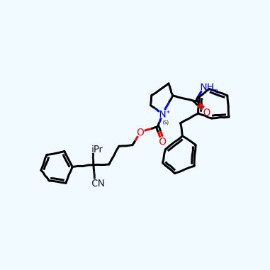 CC(C)C(C#N)(CCCOC(=O)[N@+]1(C(c2ccccc2)c2ccccc2)CCCC1C(N)=O)c1ccccc1